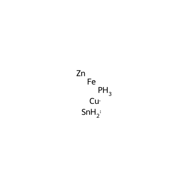 P.[Cu].[Fe].[SnH2].[Zn]